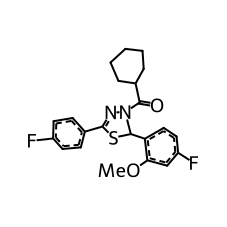 COc1cc(F)ccc1C1SC(c2ccc(F)cc2)=NN1C(=O)C1CCCCC1